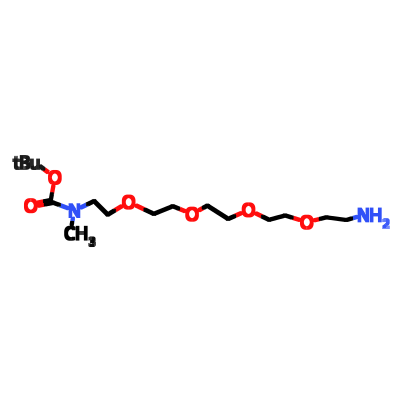 CN(CCOCCOCCOCCOCCN)C(=O)OC(C)(C)C